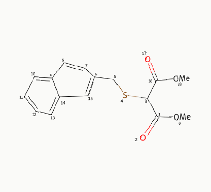 COC(=O)C(SCc1ccc2ccccc2c1)C(=O)OC